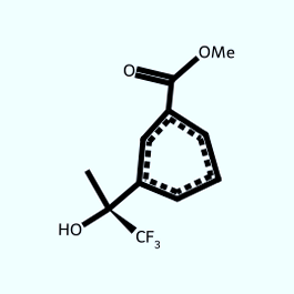 COC(=O)c1cccc([C@@](C)(O)C(F)(F)F)c1